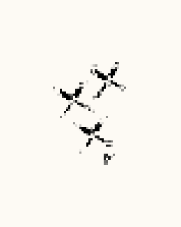 O=S(=O)([O-])F.O=S(=O)([O-])F.O=S(=O)([O-])F.[Fe+3]